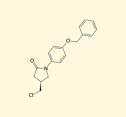 O=C1C[C@H](CCl)CN1c1ccc(OCc2ccccc2)cc1